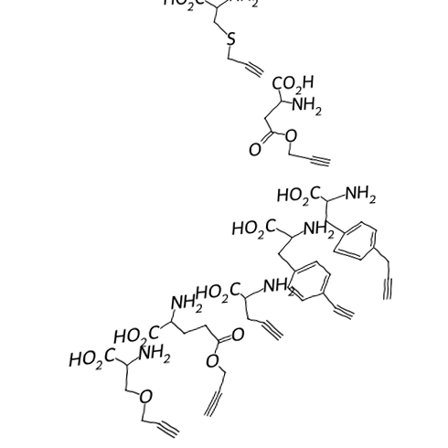 C#CCC(N)C(=O)O.C#CCOC(=O)CC(N)C(=O)O.C#CCOC(=O)CCC(N)C(=O)O.C#CCOCC(N)C(=O)O.C#CCSCC(N)C(=O)O.C#CCc1ccc(CC(N)C(=O)O)cc1.C#Cc1ccc(CC(N)C(=O)O)cc1